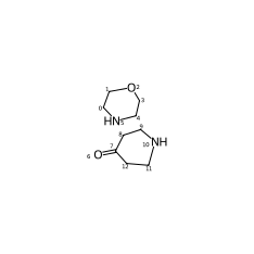 C1COCCN1.O=C1CCNCC1